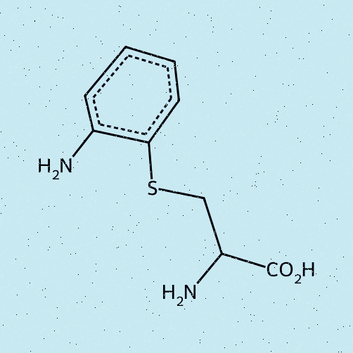 Nc1ccccc1SCC(N)C(=O)O